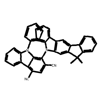 CC1(C)c2ccccc2-c2cc3c4ccccc4n(-c4c(C#N)cc(C#N)c5c6ccccc6n(-c6ccccc6)c45)c3cc21